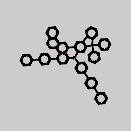 c1ccc(-c2ccc(-c3ccc(N(c4ccc(-c5ccc(-c6ccccc6)cc5)cc4)c4cc5c(cc4-c4ccc6ccc7ccccc7c6c4)-c4ccccc4C5(c4ccccc4)c4ccccc4)cc3)cc2)cc1